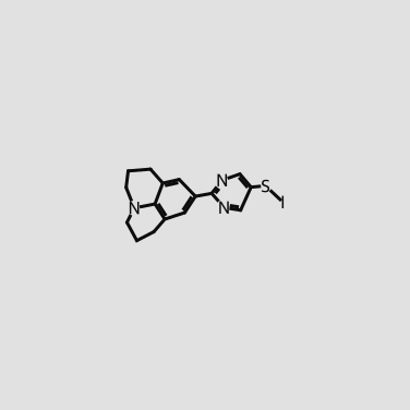 ISc1cnc(-c2cc3c4c(c2)CCCN4CCC3)nc1